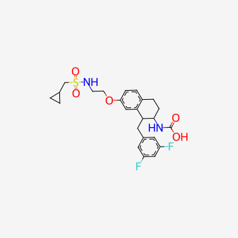 O=C(O)NC1CCc2ccc(OCCNS(=O)(=O)CC3CC3)cc2C1Cc1cc(F)cc(F)c1